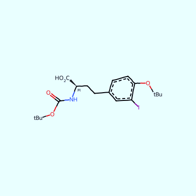 CC(C)(C)OC(=O)N[C@H](CCc1ccc(OC(C)(C)C)c(I)c1)C(=O)O